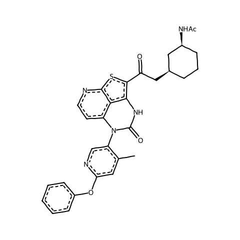 CC(=O)N[C@H]1CCC[C@@H](CC(=O)c2sc3nccc4c3c2NC(=O)N4c2cnc(Oc3ccccc3)cc2C)C1